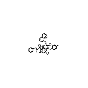 Cc1ccc(C[C@H]2C(=O)N(Cc3cccc4cccnc34)C[C@H]3N2C(=O)CN(C)N3C(=O)NCc2ccccc2)cc1